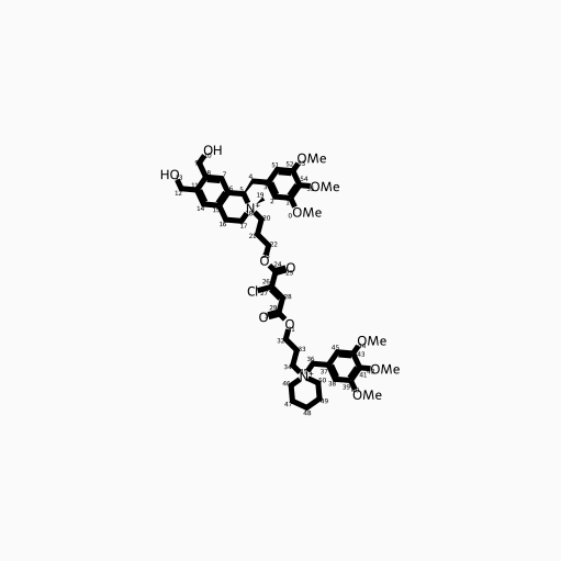 COc1cc(C[C@@H]2c3cc(CO)c(CO)cc3CC[N@@+]2(C)CCCOC(=O)/C(Cl)=C/C(=O)OCCC[N+]2(Cc3cc(OC)c(OC)c(OC)c3)CCCCC2)cc(OC)c1OC